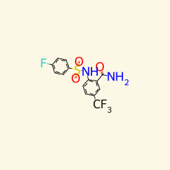 NC(=O)c1cc(C(F)(F)F)ccc1NS(=O)(=O)c1ccc(F)cc1